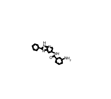 Nc1cccc(C(=O)Nc2cnc3[nH]c(-c4ccccc4)nc3c2)c1